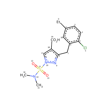 CCc1ccc(Cl)c(Cc2nn(S(=O)(=O)N(C)C)cc2C(=O)O)c1